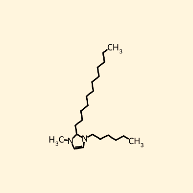 CCCCCCCCCCCCC1N(C)C=CN1CCCCCC